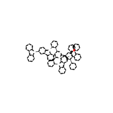 c1ccc(-c2cc(-c3ccccc3)cc(-c3nc(-c4ccccc4-n4c5ccccc5c5cc(-n6c7ccccc7c7ccccc76)ccc54)cc(-c4ccccc4-n4c5ccccc5c5cc(-n6c7ccccc7c7ccccc76)ccc54)n3)c2)cc1